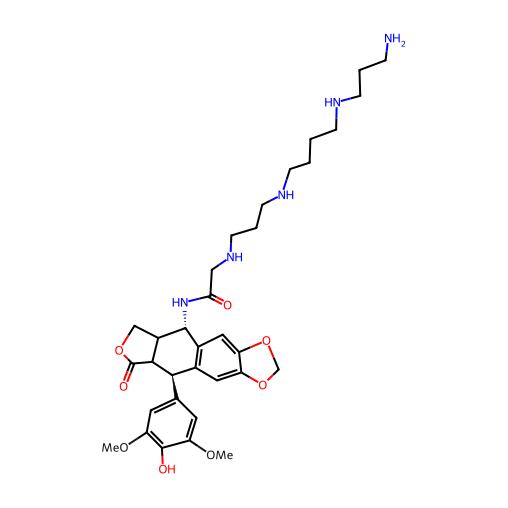 COc1cc([C@@H]2c3cc4c(cc3[C@@H](NC(=O)CNCCCNCCCCNCCCN)C3COC(=O)C32)OCO4)cc(OC)c1O